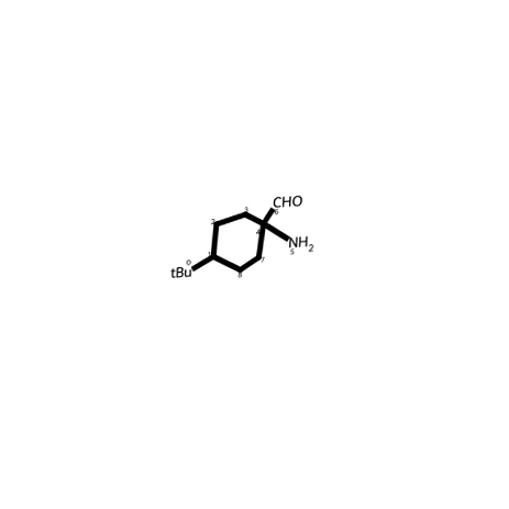 CC(C)(C)C1CCC(N)(C=O)CC1